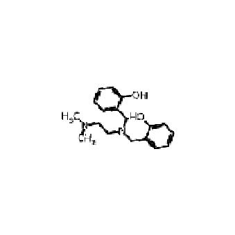 CN(C)CCN(Cc1ccccc1O)Cc1ccccc1O